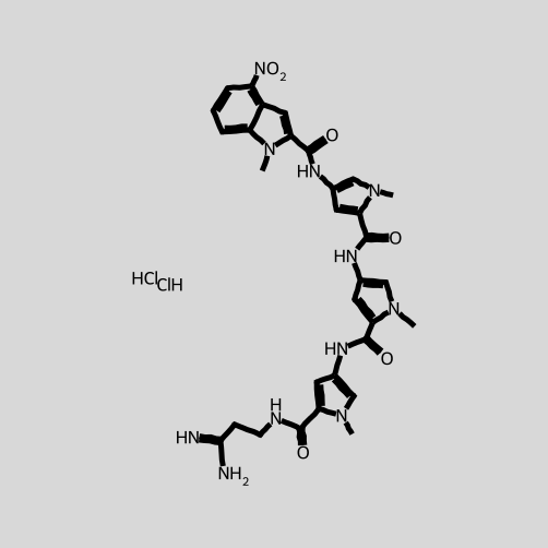 Cl.Cl.Cn1cc(NC(=O)c2cc(NC(=O)c3cc(NC(=O)c4cc5c([N+](=O)[O-])cccc5n4C)cn3C)cn2C)cc1C(=O)NCCC(=N)N